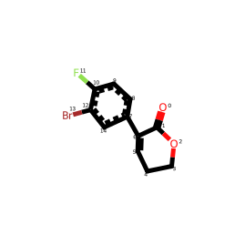 O=C1OCCC=C1c1ccc(F)c(Br)c1